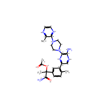 Cc1ccc(C(OC(=O)C(F)(F)F)(C(N)=O)C(F)(F)F)cc1-c1cnc(N)c(N2CCN(c3nccnc3C#N)CC2)n1